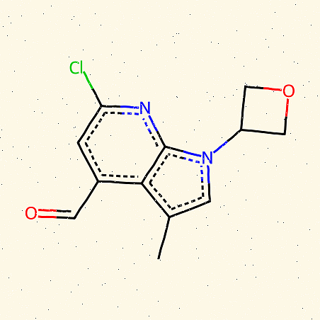 Cc1cn(C2COC2)c2nc(Cl)cc(C=O)c12